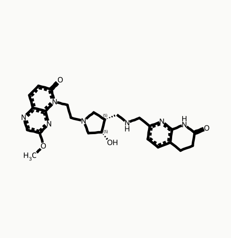 COc1cnc2ccc(=O)n(CCN3C[C@H](CNCc4ccc5c(n4)NC(=O)CC5)[C@H](O)C3)c2n1